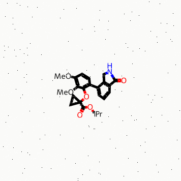 COc1ccc(-c2cccc3c2CNC3=O)c(OC2(C(=O)OC(C)C)CC2)c1OC